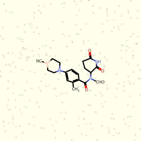 Cc1cc(N2CCB(C#N)CC2)ccc1C(=O)N(C=O)C1CCC(=O)NC1=O